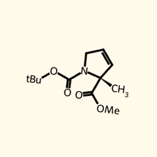 COC(=O)[C@@]1(C)C=CCN1C(=O)OC(C)(C)C